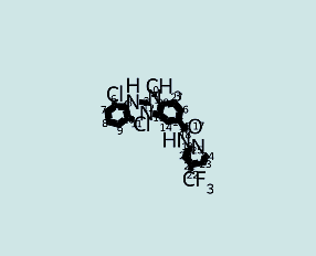 Cn1c(Nc2c(Cl)cccc2Cl)nc2cc(C(=O)Nc3cc(C(F)(F)F)ccn3)ccc21